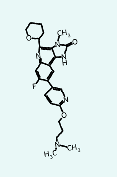 CN(C)CCCOc1ccc(-c2cc3c(cc2F)nc(C2CCCCO2)c2c3[nH]c(=O)n2C)cn1